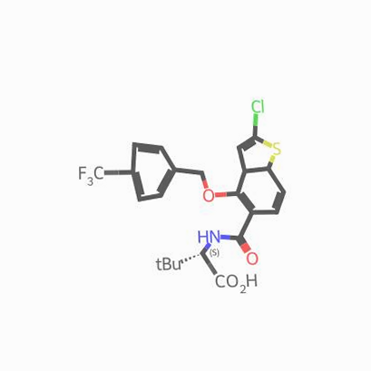 CC(C)(C)[C@H](NC(=O)C1=C(OCc2ccc(C(F)(F)F)cc2)C2C=C(Cl)SC2C=C1)C(=O)O